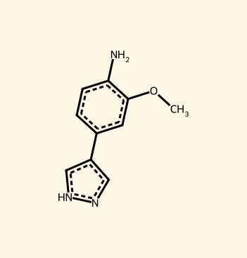 COc1cc(-c2cn[nH]c2)ccc1N